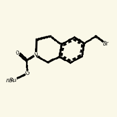 CCCCOC(=O)N1CCc2cc(CBr)ccc2C1